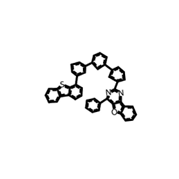 c1ccc(-c2nc(-c3cccc(-c4cccc(-c5cccc(-c6cccc7c6sc6ccccc67)c5)c4)c3)nc3c2oc2ccccc23)cc1